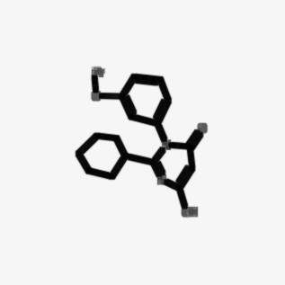 CC(C)Oc1cccc(-n2c(C3CCCCC3)nc(O)cc2=O)c1